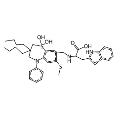 CCCCC1(CCCC)CN(c2ccccc2)c2cc(SC)c(CNC(Cc3cc4ccccc4[nH]3)C(=O)O)cc2S(O)(O)C1